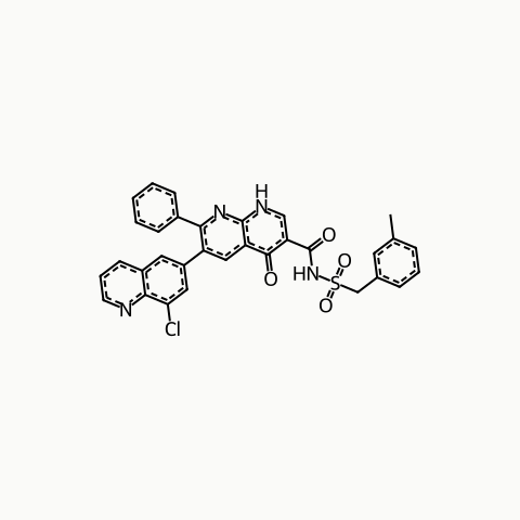 Cc1cccc(CS(=O)(=O)NC(=O)c2c[nH]c3nc(-c4ccccc4)c(-c4cc(Cl)c5ncccc5c4)cc3c2=O)c1